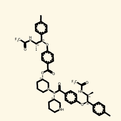 Cc1ccc([C@@H](Oc2ccc(C(=O)O[C@H]3CCCN(N(C(=O)c4ccc(O[C@H](c5ccc(C)cc5)[C@H](C)NC(=O)C(F)(F)F)cc4)[C@H]4CCCNC4)C3)cc2)[C@H](C)NC(=O)C(F)(F)F)cc1